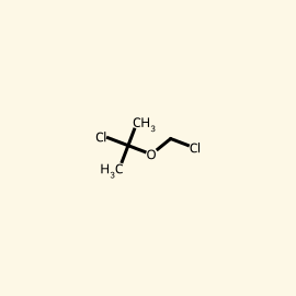 CC(C)(Cl)OCCl